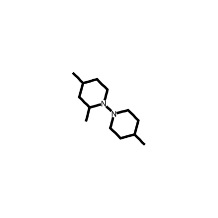 CC1CCN(N2CCC(C)CC2C)CC1